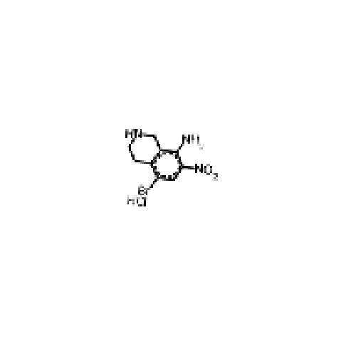 Cl.Nc1c([N+](=O)[O-])cc(Br)c2c1CNCC2